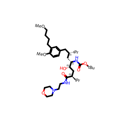 COCCCCc1cc(C[C@@H](C[C@H](NC(=O)OC(C)(C)C)[C@@H](O)C[C@H](C(=O)NCCN2CCOCC2)C(C)C)C(C)C)ccc1OC